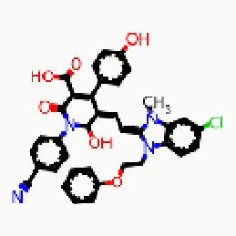 CN1/C(=C\C=C2\C(c3ccc(O)cc3)=C(C(=O)O)C(=O)N(c3ccc(C#N)cc3)C2O)N(CCOc2ccccc2)c2ccc(Cl)cc21